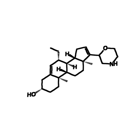 CC[C@H]1C=C2C[C@@H](O)CC[C@]2(C)[C@H]2CC[C@]3(C)C(C4CNCCO4)=CC[C@H]3[C@H]12